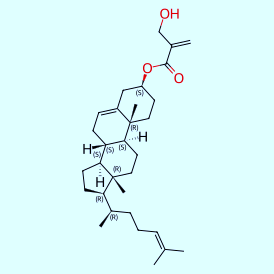 C=C(CO)C(=O)O[C@H]1CC[C@@]2(C)C(=CC[C@H]3[C@@H]4CC[C@H]([C@H](C)CCC=C(C)C)[C@@]4(C)CC[C@@H]32)C1